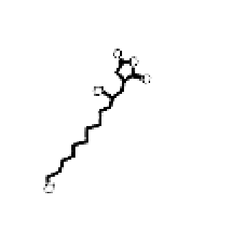 O=C1CC(CC(Cl)CCCCCCCCCCCl)C(=O)O1